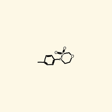 Cc1ccc(N2CCOCS2(=O)=O)cc1